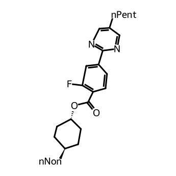 CCCCCCCCC[C@H]1CC[C@H](OC(=O)c2ccc(-c3ncc(CCCCC)cn3)cc2F)CC1